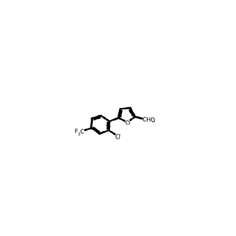 O=Cc1ccc(-c2ccc(C(F)(F)F)cc2Cl)o1